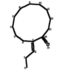 CCC=C1CCCCCCCCCCC1=O